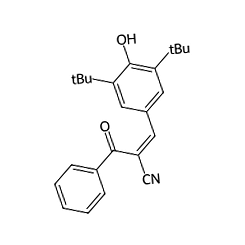 CC(C)(C)c1cc(/C=C(/C#N)C(=O)c2ccccc2)cc(C(C)(C)C)c1O